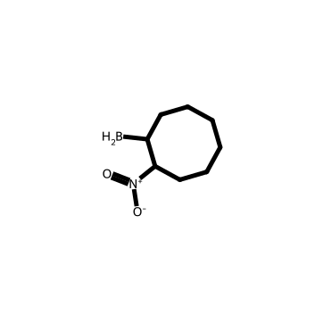 BC1CCCCCCC1[N+](=O)[O-]